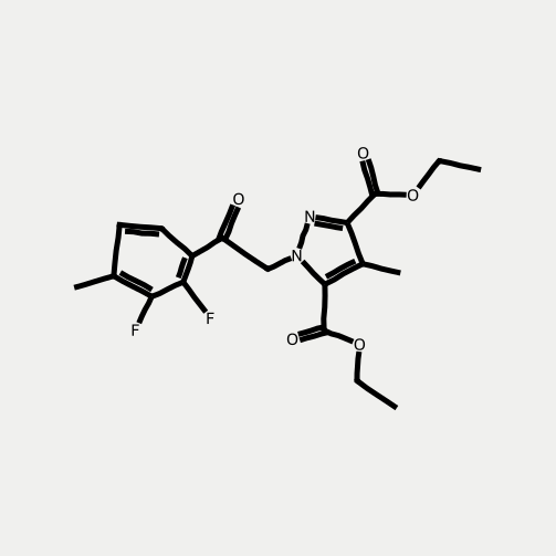 CCOC(=O)c1nn(CC(=O)c2ccc(C)c(F)c2F)c(C(=O)OCC)c1C